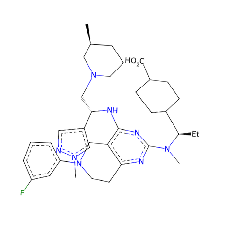 CC[C@H](C1CCC(C(=O)O)CC1)N(C)c1nc2c(c(N[C@@H](CN3CCC[C@H](C)C3)c3cnn(C)c3)n1)CN(c1cccc(F)c1)CC2